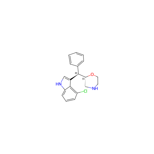 Clc1cccc2[nH]cc([C@@H](c3ccccc3)[C@H]3CNCCO3)c12